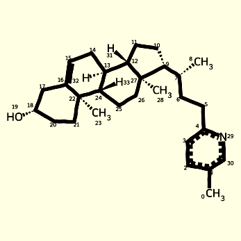 Cc1ccc(CC[C@@H](C)[C@H]2CC[C@H]3[C@@H]4CC=C5C[C@@H](O)CC[C@]5(C)[C@H]4CC[C@]23C)nc1